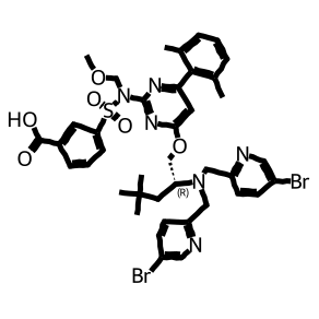 COCN(c1nc(OC[C@@H](CC(C)(C)C)N(Cc2ccc(Br)cn2)Cc2ccc(Br)cn2)cc(-c2c(C)cccc2C)n1)S(=O)(=O)c1cccc(C(=O)O)c1